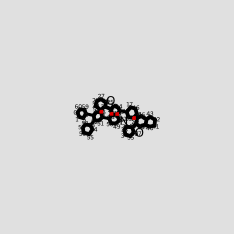 c1ccc(-c2ccc(-c3ccc(N(c4ccccc4-c4ccc5c(c4)oc4ccccc45)c4cccc5oc6c7ccccc7ccc6c45)cc3)cc2-c2ccccc2)cc1